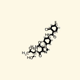 CC(C)[C@@H](CO)NC(=O)c1ncn(-c2ccc(NC(=O)c3ccc(F)cc3Cl)cc2)c1C(N)=O